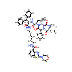 C[C@@H](C(=O)N[C@H](C(=O)N1CCC[C@H]1C(=O)N[C@H](C(=O)NCCCCCCNC(=O)c1cccc2sc(N3CCOCC3)nc12)C(c1ccccc1)c1ccccc1)C1CCCCC1)N(C)C(=O)OC(C)(C)C